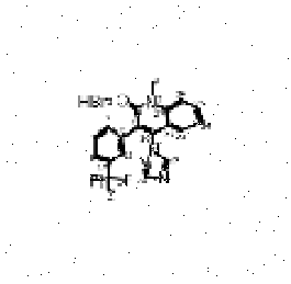 Br.Cn1c(=O)c(-c2cccc(C(F)(F)F)c2)c(-n2cncn2)c2ccccc21